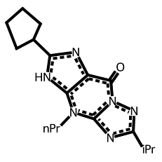 CCCn1c2[nH]c(C3CCCC3)nc2c(=O)n2nc(C(C)C)nc12